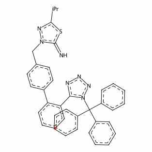 CC(C)c1nn(Cc2ccc(-c3ccccc3-c3nnnn3C(c3ccccc3)(c3ccccc3)c3ccccc3)cc2)c(=N)s1